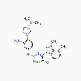 Cc1cccc2c(-c3nc(Nc4ccc(N5CC[C@H](N(C)C)C5)c(N)c4)ncc3Cl)cn(C)c12